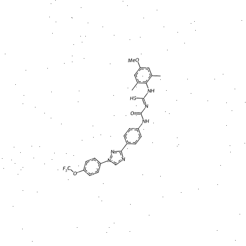 COc1cc(C)c(N/C(S)=N/C(=O)Nc2ccc(-c3ncn(-c4ccc(OC(F)(F)F)cc4)n3)cc2)c(C)c1